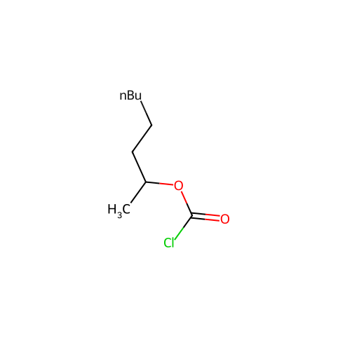 CCCCCCC(C)OC(=O)Cl